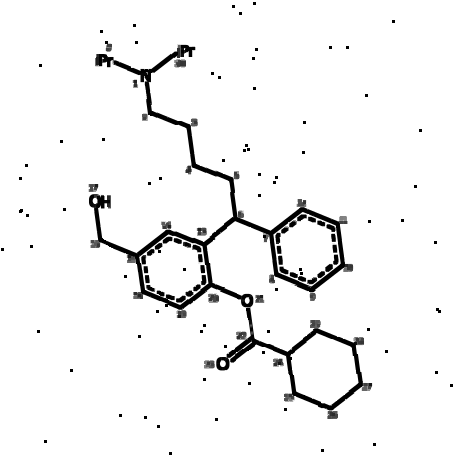 CC(C)N(CCCCC(c1ccccc1)c1cc(CO)ccc1OC(=O)C1CCCCC1)C(C)C